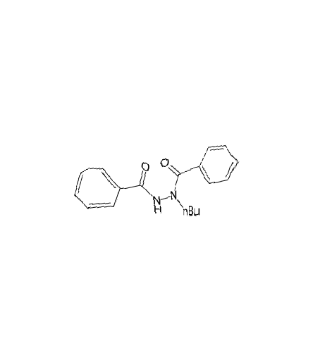 CCCCN(NC(=O)c1ccccc1)C(=O)c1ccccc1